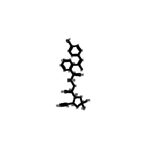 CC(=Cc1ccc(Cl)cc1)c1cnccc1C(=O)NCC(=O)N1CC(F)(F)CC1C#N